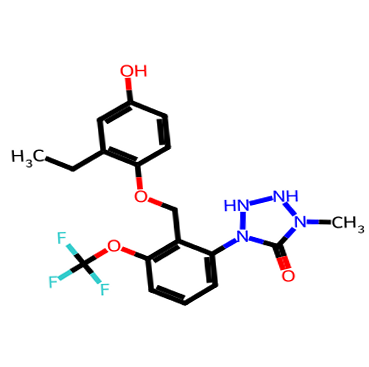 CCc1cc(O)ccc1OCc1c(OC(F)(F)F)cccc1N1NNN(C)C1=O